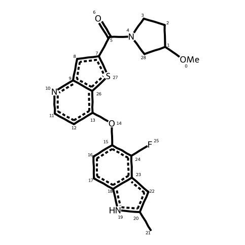 COC1CCN(C(=O)c2cc3nccc(Oc4ccc5[nH]c(C)cc5c4F)c3s2)C1